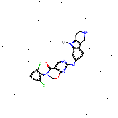 Cn1c2c(c3ccc(Nc4ncc5c(n4)OCN(c4c(Cl)cccc4Cl)C5=O)cc31)CNCC2